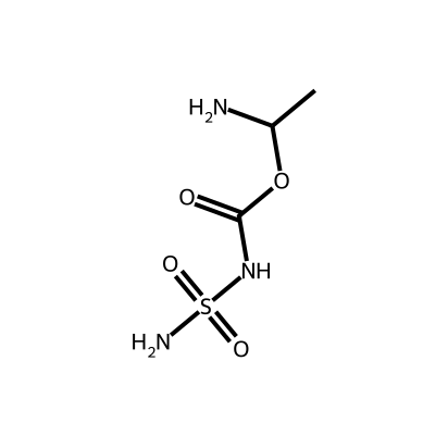 CC(N)OC(=O)NS(N)(=O)=O